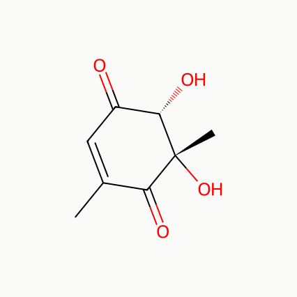 CC1=CC(=O)[C@H](O)[C@](C)(O)C1=O